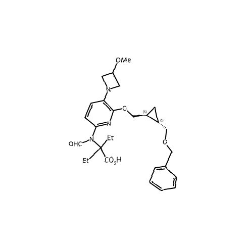 CCC(CC)(C(=O)O)N(C=O)c1ccc(N2CC(OC)C2)c(OC[C@H]2C[C@@H]2COCc2ccccc2)n1